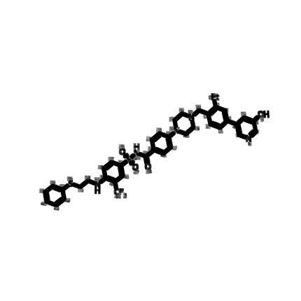 CCc1cc(-c2cncc(O)c2)ccc1CN1CCN(c2ccc(C(=O)NS(=O)(=O)c3ccc(NCCSc4ccccc4)c(C(F)(F)F)c3)cc2)CC1